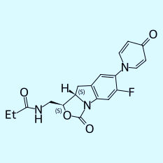 CCC(=O)NC[C@@H]1OC(=O)N2c3cc(F)c(-n4ccc(=O)cc4)cc3C[C@@H]12